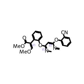 C=N/C(=C\C(=N/C)Oc1ccccc1/C(=C/OC)C(=O)OC)Oc1ccccc1C#N